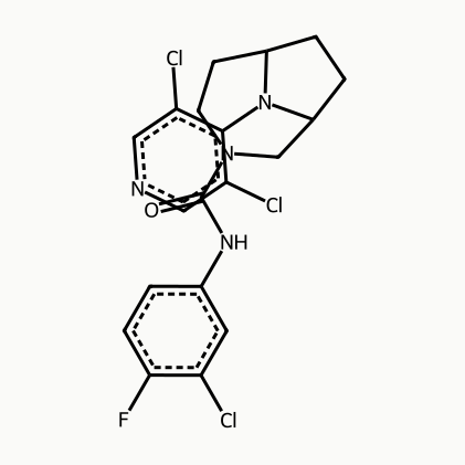 O=C(Nc1ccc(F)c(Cl)c1)N1CCC2CCC(C1)N2c1c(Cl)cncc1Cl